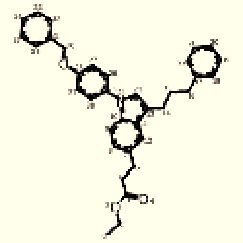 CCOC(=O)CCc1ccc2c(c1)c(CCCc1ccccc1)cn2-c1ccc(OCc2ccccc2)cc1